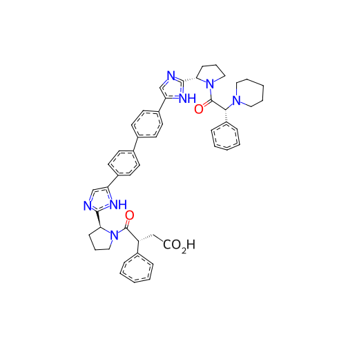 O=C(O)C[C@@H](C(=O)N1CCC[C@H]1c1ncc(-c2ccc(-c3ccc(-c4cnc([C@@H]5CCCN5C(=O)[C@@H](c5ccccc5)N5CCCCC5)[nH]4)cc3)cc2)[nH]1)c1ccccc1